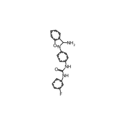 NC1c2ccccc2ON1c1ccc(NC(=O)Nc2cccc(F)c2)cc1